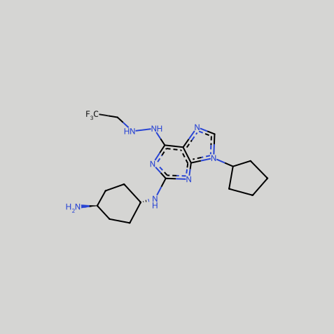 N[C@H]1CC[C@H](Nc2nc(NNCC(F)(F)F)c3ncn(C4CCCC4)c3n2)CC1